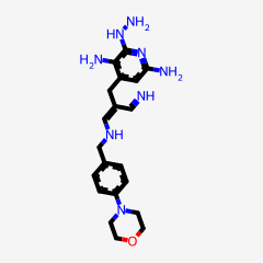 N=C/C(=C\NCc1ccc(N2CCOCC2)cc1)Cc1cc(N)nc(NN)c1N